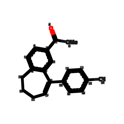 COC(=O)c1ccc2c(c1)C(c1ccc(C#N)cc1)=CCCC2